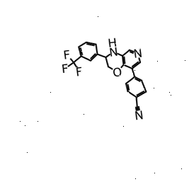 N#Cc1ccc(-c2cncc3c2OCC(c2cccc(C(F)(F)F)c2)N3)cc1